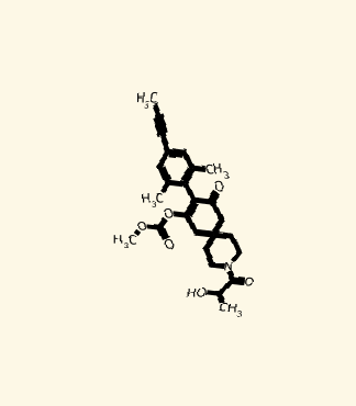 CC#Cc1cc(C)c(C2=C(OC(=O)OC)CC3(CCN(C(=O)C(C)O)CC3)CC2=O)c(C)c1